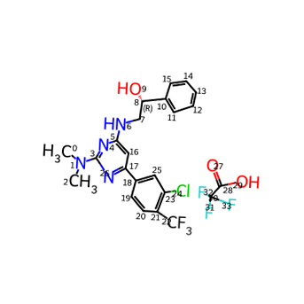 CN(C)c1nc(NC[C@H](O)c2ccccc2)cc(-c2ccc(C(F)(F)F)c(Cl)c2)n1.O=C(O)C(F)(F)F